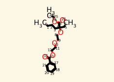 CCCCC(CC)(OCCOCCOC(=O)c1ccccc1)C(=O)OCC